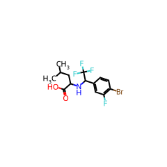 CC(C)CC(NC(c1ccc(Br)c(F)c1)C(F)(F)F)C(=O)O